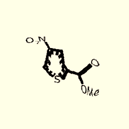 COC(=O)c1cc([N+](=O)[O-])cs1